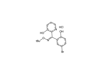 CC(C)(C)ON=C(c1cc(Br)ccc1O)c1ncccc1O.Cl